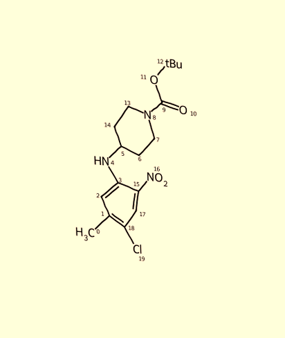 Cc1cc(NC2CCN(C(=O)OC(C)(C)C)CC2)c([N+](=O)[O-])cc1Cl